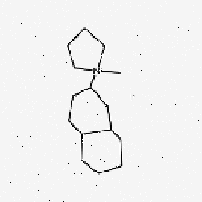 C[N+]1(C2CCC3CCCCC3C2)CCCC1.[I-]